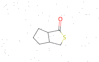 O=C1SCC2CCCC12